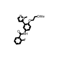 COCCOc1ccc(NC(=O)c2ccccc2F)cc1-c1ccnn1C